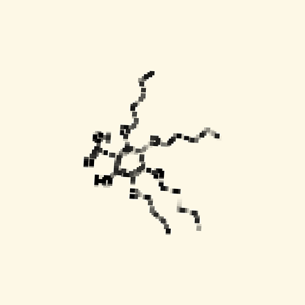 CCCCCOc1c(OCCCC)c(O)c(C(=O)O)c(OCCCCC)c1OCCCCC